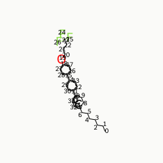 CCCCCCCC12CCC(c3ccc(-c4ccc(OCCCC(F)(F)F)cc4)cc3)(CC1)CC2